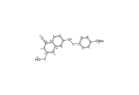 COc1ccc(COc2ccc3c(=O)cc(CO)oc3c2)cc1